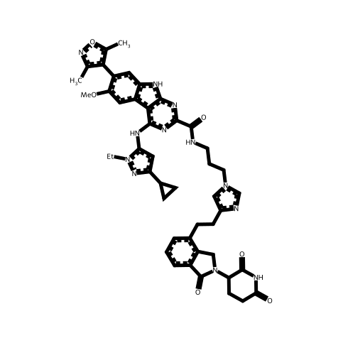 CCn1nc(C2CC2)cc1Nc1nc(C(=O)NCCCn2cnc(CCc3cccc4c3CN(C3CCC(=O)NC3=O)C4=O)c2)nc2[nH]c3cc(-c4c(C)noc4C)c(OC)cc3c12